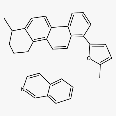 Cc1ccc(-c2cccc3c2ccc2c4c(ccc23)C(C)CCC4)o1.c1ccc2cnccc2c1